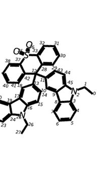 CCn1c2ccccc2c2cc(C3(c4ccc5c(c4)c4ccccc4n5CC)c4ccccc4S(=O)(=O)c4ccccc43)ccc21